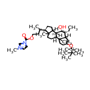 CC[C@H]1[C@@H](O)[C@@H]2[C@H](CC[C@]3(C)[C@@H]([C@H](C)CCOC(=O)n4cc[n+](C)c4)CC[C@@H]23)[C@@]2(C)CCC(O[Si](C)(C)C(C)(C)C)C[C@@H]12